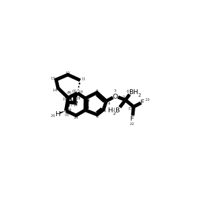 BC(B)(Oc1ccc2c(c1)[C@]13CCCC[C@@H]1[C@@H](CCC3)C2)C(F)F